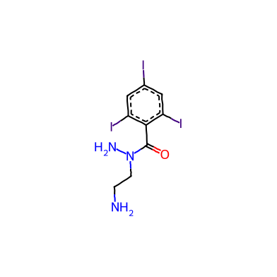 NCCN(N)C(=O)c1c(I)cc(I)cc1I